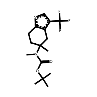 CN(C(=O)OC(C)(C)C)C1(C)CCc2scc(C(F)(F)F)c2C1